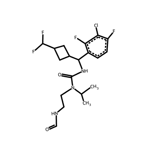 CC(C)N(CCNC=O)C(=O)NC(c1ccc(F)c(Cl)c1F)C1CC(C(F)F)C1